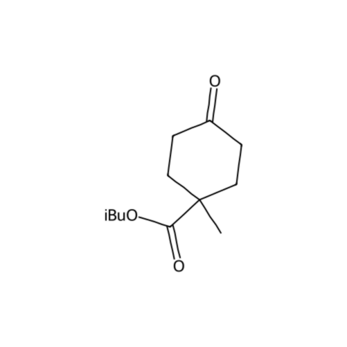 CC(C)COC(=O)C1(C)CCC(=O)CC1